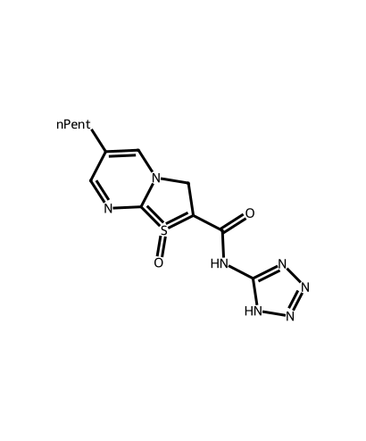 CCCCCC1=CN2CC(C(=O)Nc3nnn[nH]3)=S(=O)=C2N=C1